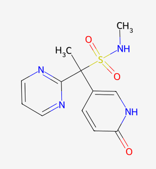 CNS(=O)(=O)C(C)(c1ccc(=O)[nH]c1)c1ncccn1